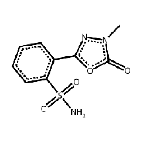 Cn1nc(-c2ccccc2S(N)(=O)=O)oc1=O